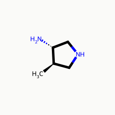 C[C@@H]1CNC[C@H]1N